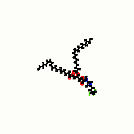 CCCCC/C=C\C/C=C\CCCCCCCC(=O)OCC(COC(=O)N(C)C1CN(CCC(F)(F)F)C1)OC(=O)CCCCCCC/C=C\CCCCCCCC